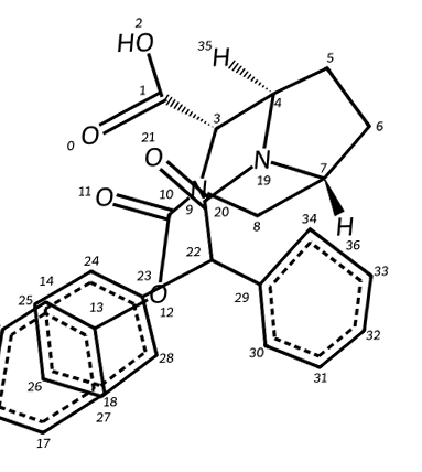 O=C(O)[C@@H]1[C@H]2CC[C@H](CN1C(=O)Oc1ccccc1)N2C(=O)C(c1ccccc1)c1ccccc1